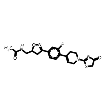 CC(=O)NCC1CC(c2ccc(C3=CCN(C4=NC(=O)CS4)CC3)c(F)c2)=NO1